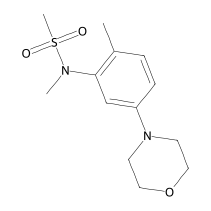 Cc1ccc(N2CCOCC2)cc1N(C)S(C)(=O)=O